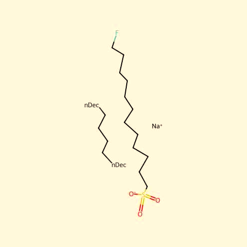 CCCCCCCCCCCCCCCCCCCCCCCC.O=S(=O)([O-])CCCCCCCCCCCCF.[Na+]